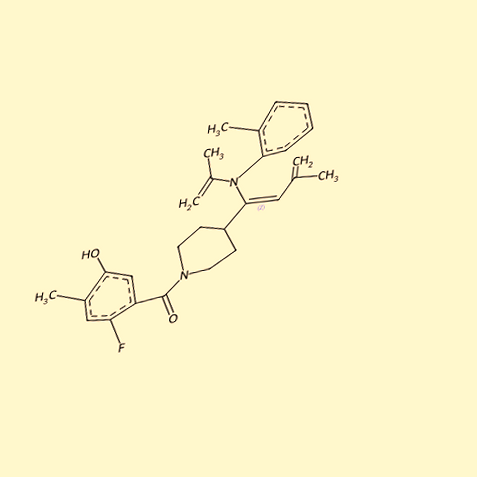 C=C(C)/C=C(/C1CCN(C(=O)c2cc(O)c(C)cc2F)CC1)N(C(=C)C)c1ccccc1C